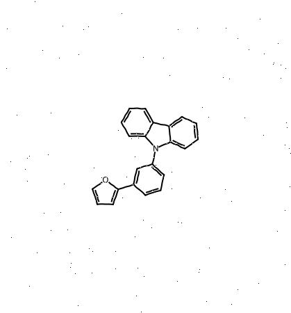 c1cc(-c2ccco2)cc(-n2c3ccccc3c3ccccc32)c1